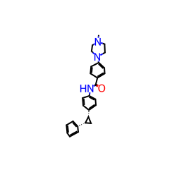 CN1CCN(c2ccc(C(=O)Nc3ccc([C@@H]4C[C@@H]4c4ccccc4)cc3)cc2)CC1